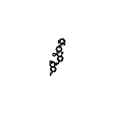 O=C(c1cc(CN2C=NCc3cc(F)ccc32)ccc1F)N1CCN(c2ncccn2)CC1